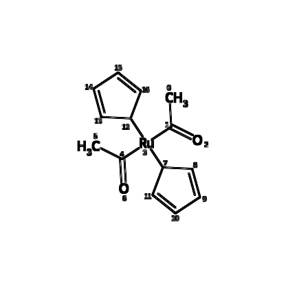 C[C](=O)[Ru]([C](C)=O)([CH]1C=CC=C1)[CH]1C=CC=C1